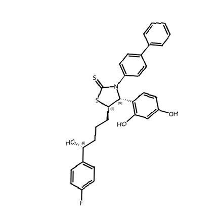 Oc1ccc([C@@H]2[C@@H](CCC[C@@H](O)c3ccc(F)cc3)SC(=S)N2c2ccc(-c3ccccc3)cc2)c(O)c1